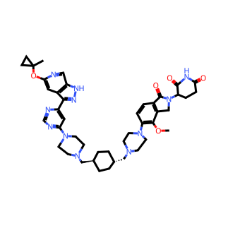 COc1c(N2CCN(C[C@H]3CC[C@H](CN4CCN(c5cc(-c6n[nH]c7cnc(OC8(C)CC8)cc67)ncn5)CC4)CC3)CC2)ccc2c1CN(C1CCC(=O)NC1=O)C2=O